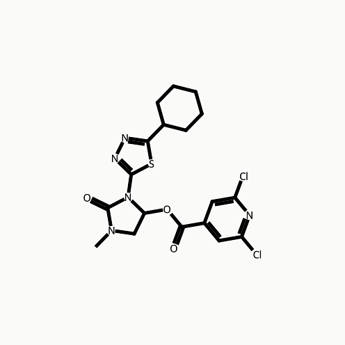 CN1CC(OC(=O)c2cc(Cl)nc(Cl)c2)N(c2nnc(C3CCCCC3)s2)C1=O